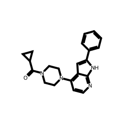 O=C(C1CC1)N1CCN(c2ccnc3[nH]c(-c4ccccc4)cc23)CC1